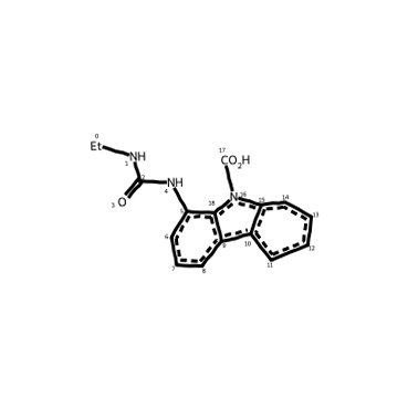 CCNC(=O)Nc1cccc2c3ccccc3n(C(=O)O)c12